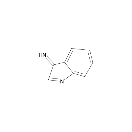 N=C1C=Nc2ccccc21